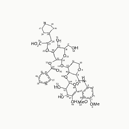 COc1ccc(NC(=O)C2OCCC(OC3OC(CO)C(O)C(OC(CC4CCCCC4)C(=O)O)C3OC(=O)c3ccccc3)C2OC2OC=C(O)C(O)C2O)cc1OC